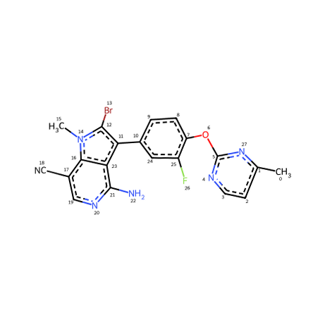 Cc1ccnc(Oc2ccc(-c3c(Br)n(C)c4c(C#N)cnc(N)c34)cc2F)n1